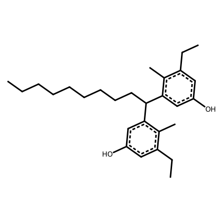 CCCCCCCCCC(c1cc(O)cc(CC)c1C)c1cc(O)cc(CC)c1C